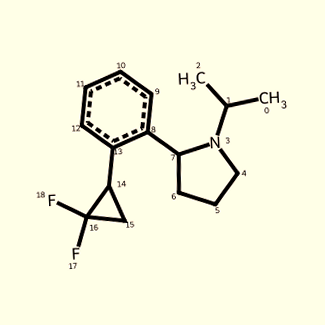 CC(C)N1CCCC1c1ccccc1C1CC1(F)F